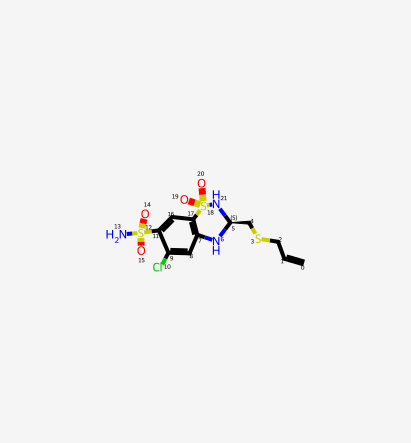 C=CCSC[C@H]1Nc2cc(Cl)c(S(N)(=O)=O)cc2S(=O)(=O)N1